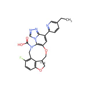 CCc1ccc(-c2cc3c(n4cnnc24)N(C(=O)O)Cc2c(F)ccc4c2[C@@H](CO4)CO3)nc1